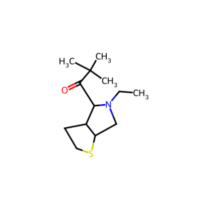 CCN1CC2SCCC2C1C(=O)C(C)(C)C